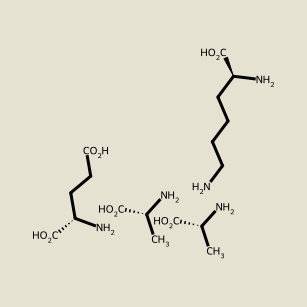 C[C@@H](N)C(=O)O.C[C@@H](N)C(=O)O.NCCCC[C@H](N)C(=O)O.N[C@@H](CCC(=O)O)C(=O)O